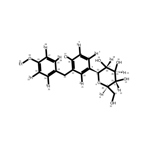 [2H]c1c([2H])c([C@@H]2O[C@]([2H])(CO)[C@@]([2H])(O)[C@]([2H])(O)[C@@]2([2H])O)c([2H])c(Cc2c([2H])c([2H])c(OCC)c([2H])c2[2H])c1Cl